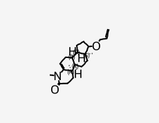 C=CCOC1CC[C@H]2[C@@H]3CC=C4N(C)C(=O)CC[C@]4(C)[C@@H]3CC[C@]12C